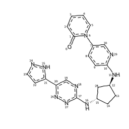 O=c1ccccn1-c1ccc(N[C@H]2CC[C@H](Nc3ncc(-c4ccn[nH]4)nn3)C2)nc1